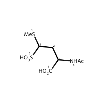 CSC(CC(NC(C)=O)C(=O)O)S(=O)(=O)O